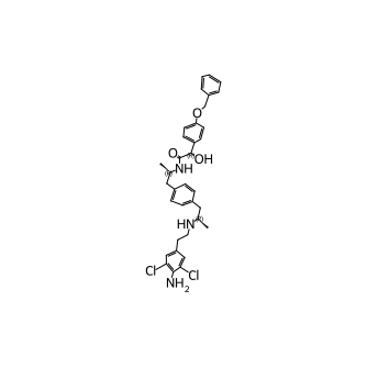 C[C@H](Cc1ccc(C[C@@H](C)NC(=O)[C@H](O)c2ccc(OCc3ccccc3)cc2)cc1)NCCc1cc(Cl)c(N)c(Cl)c1